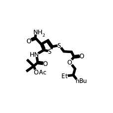 CCCCC(CC)COC(=O)CCSc1cc(C(N)=O)c(NC(=O)C(C)(C)OC(C)=O)s1